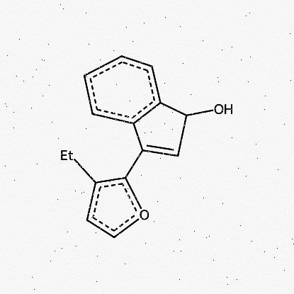 CCc1ccoc1C1=CC(O)c2ccccc21